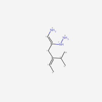 C/C=C(/C/C(=C/N)NN)C(C)C